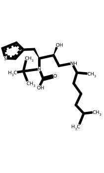 CC(C)CCCC(C)NC[C@H](O)[C@H](Cc1ccsc1)N(C(=O)O)C(C)(C)C